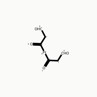 O=CC[C](=O)[Pt][C](=O)CC=O